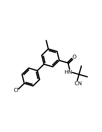 Cc1cc(C(=O)NC(C)(C)C#N)cc(-c2ccc(Cl)cc2)c1